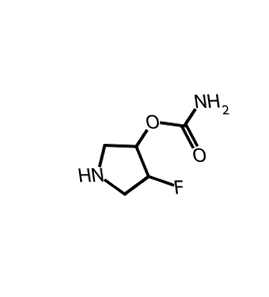 NC(=O)OC1CNCC1F